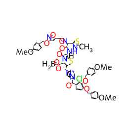 BOC(=O)C1=C(C[N+]23CCC(CC2)N(C(=O)c2ccc(OCc4ccc(OC)cc4)c(OCc4ccc(OC)cc4)c2Cl)CC3)CS[C@@H]2[C@H](NC(=O)/C(=N\OCc3cc(OCc4ccc(OC)cc4)no3)c3csc(C)n3)C(=O)N12